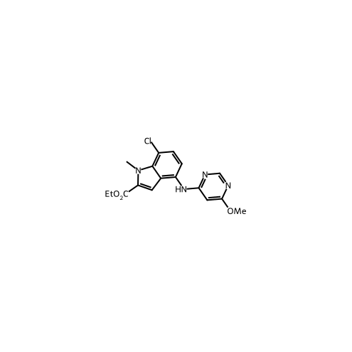 CCOC(=O)c1cc2c(Nc3cc(OC)ncn3)ccc(Cl)c2n1C